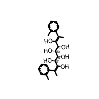 CC(=C(O)[C@@H](O)[C@@H](O)[C@H](O)[C@@H](O)C(O)=C(C)c1ccccc1C)c1ccccc1C